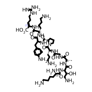 C[C@H](NC(=O)[C@@H](NC(=O)[C@@H](N)CCCCN)[C@@H](O)CN)C(=O)NCC(=O)N[C@H](CCCN)C(=O)N1CCC[C@H]1C(=O)NC(Cc1ccc(N)cc1)C(=O)N[C@@H](CCCCN)C(=O)N/C(=C\CCNC(=N)N)C(=O)O